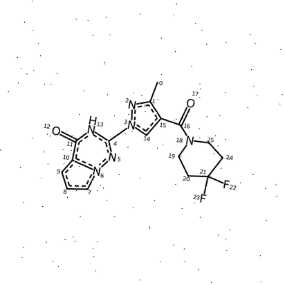 Cc1nn(-c2nn3cccc3c(=O)[nH]2)cc1C(=O)N1CCC(F)(F)CC1